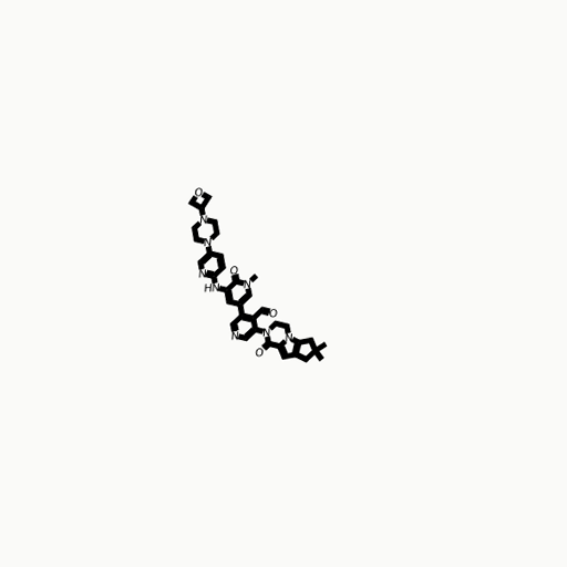 Cn1cc(-c2cncc(N3CCn4c(cc5c4CC(C)(C)C5)C3=O)c2C=O)cc(Nc2ccc(N3CCN(C4COC4)CC3)cn2)c1=O